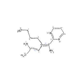 C/C(N)=C/C(CCCO)=C(\N)c1ncccn1